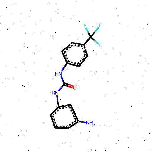 Nc1cccc(NC(=O)Nc2ccc(C(F)(F)F)cc2)c1